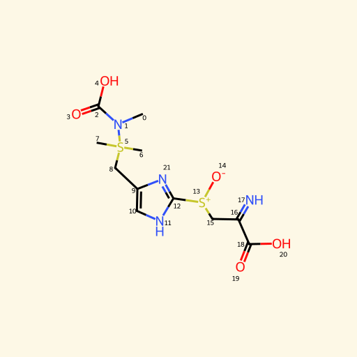 CN(C(=O)O)S(C)(C)Cc1c[nH]c([S+]([O-])CC(=N)C(=O)O)n1